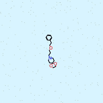 c1ccc(CCOCCCN2CCC3(CC2)OCCO3)cc1